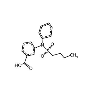 CCCCS(=O)(=O)N(c1ccccc1)c1cccc(C(=O)O)c1